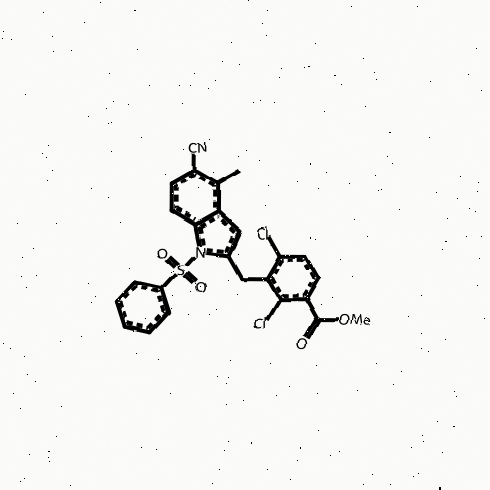 COC(=O)c1ccc(Cl)c(Cc2cc3c(C)c(C#N)ccc3n2S(=O)(=O)c2ccccc2)c1Cl